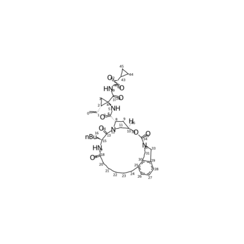 C=C[C@@H]1C[C@]1(NC(=O)[C@@H]1C[C@@H]2CN1C(=O)[C@H](CCCC)NC(=O)CCCCCc1cccc3c1CN(C3)C(=O)O2)C(=O)NS(=O)(=O)C1CC1